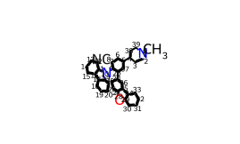 CN1C=CC(c2cc(C#N)c(-n3c4ccccc4c4ccccc43)c(-c3ccc4oc5ccccc5c4c3)c2)=CC1